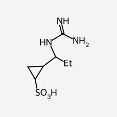 CCC(NC(=N)N)C1CC1S(=O)(=O)O